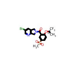 C[C@H](Oc1ccc(S(C)(=O)=O)cc1C(=O)N1Cc2cc(Br)cnc2C1)C(F)(F)F